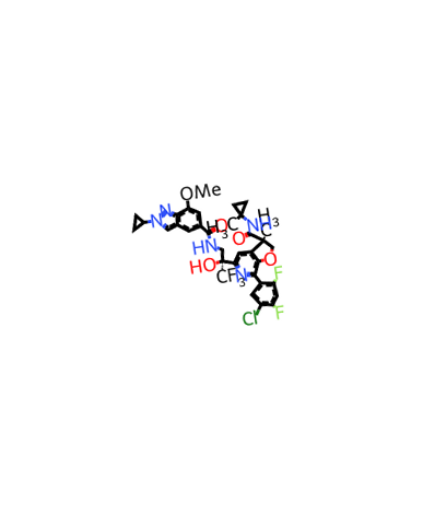 COc1cc(C(=O)NC[C@](O)(c2cc3c(c(-c4cc(Cl)c(F)cc4F)n2)OC[C@]3(C)C(=O)NC2(C)CC2)C(F)(F)F)cc2cn(C3CC3)nc12